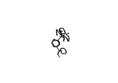 CCC(=O)c1cccc(-c2noc(C)n2)c1